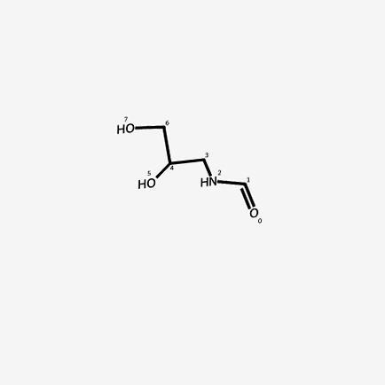 O=CNCC(O)CO